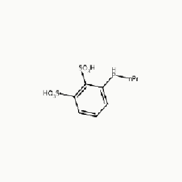 CCCPc1cccc(S(=O)(=O)O)c1S(=O)(=O)O